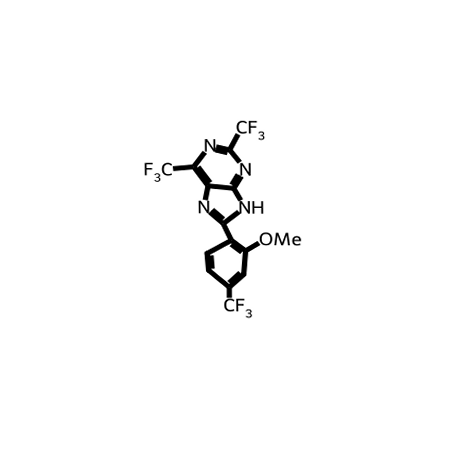 COc1cc(C(F)(F)F)ccc1-c1nc2c(C(F)(F)F)nc(C(F)(F)F)nc2[nH]1